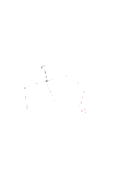 CCC(CC)(CCl)O[PH](=O)O